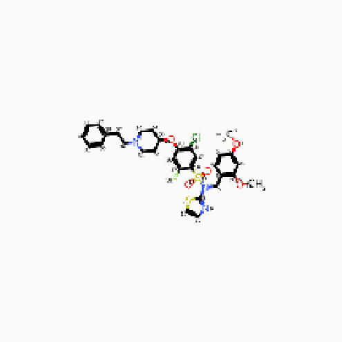 COc1ccc(CN(c2nccs2)S(=O)(=O)c2cc(Cl)c(OC3CCN(CCc4ccccc4)CC3)cc2F)c(OC)c1